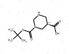 CC(C)(C)OC(=O)N1CNC[C@@H](C(=O)O)C1